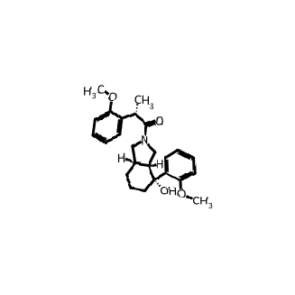 COc1ccccc1[C@H](C)C(=O)N1C[C@H]2CCC[C@](O)(c3ccccc3OC)[C@H]2C1